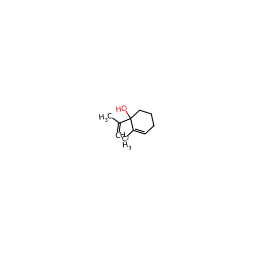 C=C(C)C1(O)CCCC=C1C